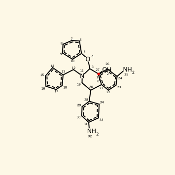 CC(O)C(Oc1ccccc1)N(Cc1ccccc1)CC(c1ccc(N)cc1)c1ccc(N)cc1